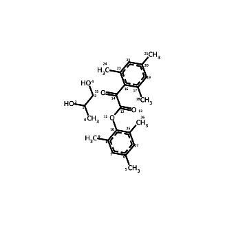 CC(O)CO.Cc1cc(C)c(OC(=O)C(=O)c2c(C)cc(C)cc2C)c(C)c1